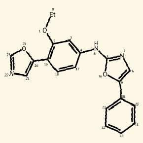 CCOc1cc(Nc2ncc(-c3ccccc3)o2)ccc1-c1cnco1